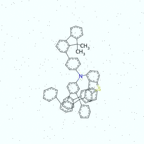 CC1(C)c2ccccc2-c2cccc(-c3ccc(N(c4ccc5c(c4)C(c4ccccc4)(c4ccccc4)c4cccc(-c6ccccc6)c4-5)c4cccc5sc6ccc(-c7ccccc7)cc6c45)cc3)c21